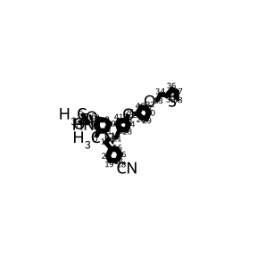 Cc1c(NS(C)(=O)=O)cccc1N(Cc1ccc(C#N)cc1)Cc1ccc(Oc2cccc(OCCc3cccs3)c2)cc1